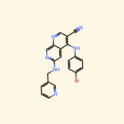 N#Cc1cnc2cnc(NCc3cccnc3)cc2c1Nc1ccc(Br)cc1